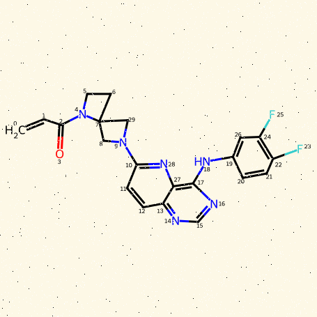 C=CC(=O)N1CCC12CN(c1ccc3ncnc(Nc4ccc(F)c(F)c4)c3n1)C2